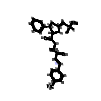 CC(C)(C)[Si](C)(C)O[C@@H]1C[C@H](c2ccccc2)N(C(=O)CNC(=O)/C=C/c2ccc(C(F)(F)F)cc2)C1